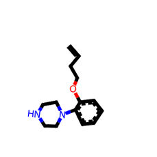 C=CCCOc1ccccc1N1CCNCC1